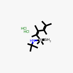 CC(C)=C(C)C(C)=[C](C)[Ti]([CH3])([CH3])(=[SiH2])[NH]C(C)(C)C.Cl.Cl